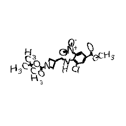 COC(=O)c1cc(Cl)c(NCC2CN(C(=O)OC(C)(C)C)C2)c([N+](=O)[O-])c1